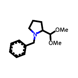 COC(OC)C1CCCN1Cc1ccccc1